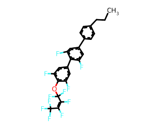 CCCc1ccc(-c2cc(F)c(-c3cc(F)c(OC(F)(F)/C(F)=C(/F)C(F)(F)F)c(F)c3)c(F)c2)cc1